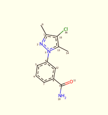 Cc1nn(-c2cccc(C(N)=O)c2)c(C)c1Cl